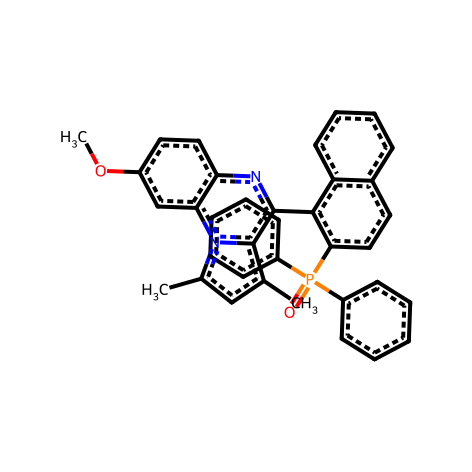 COc1ccc2nc(-c3c(P(=O)(c4ccccc4)c4ccccc4)ccc4ccccc34)c3c(C)cc(C)n3c2c1